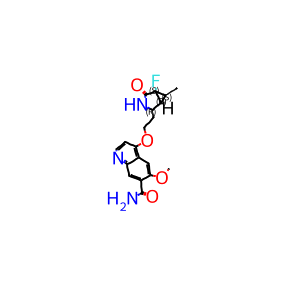 COc1cc2c(OCC[C@H]3NC(=O)[C@@]4(F)[C@@H]3[C@@H]4C)ccnc2cc1C(N)=O